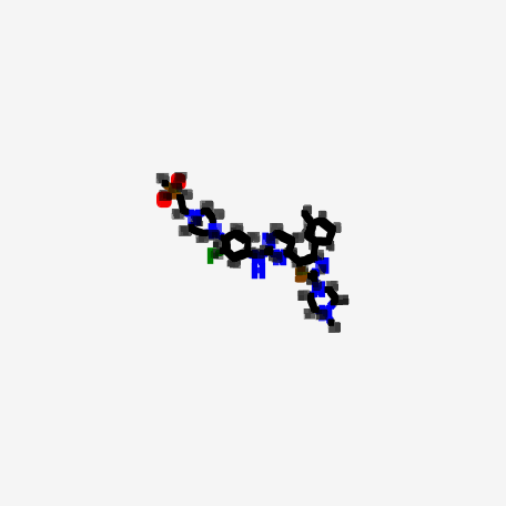 Cc1cccc(-c2nc(N3CCN(C)CC3)sc2-c2ccnc(Nc3ccc(N4CCN(CCS(C)(=O)=O)CC4)c(F)c3)n2)c1